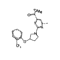 COC(=O)c1cc(C)nc(N2CCC(Oc3ccccc3C(F)(F)F)C2)n1